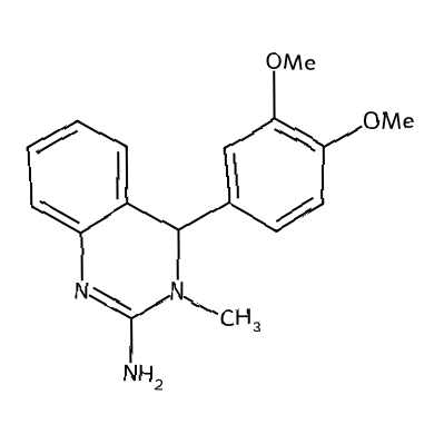 COc1ccc(C2c3ccccc3N=C(N)N2C)cc1OC